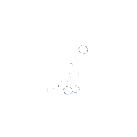 NC(=O)c1cnc2[nH]ccc2c1NC1CCCN(C(=O)NCc2cc(Cl)cc(Cl)c2)C1